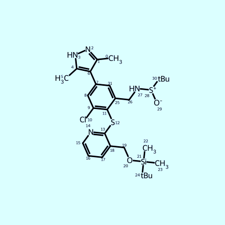 Cc1n[nH]c(C)c1-c1cc(Cl)c(Sc2ncccc2CO[Si](C)(C)C(C)(C)C)c(CN[S+]([O-])C(C)(C)C)c1